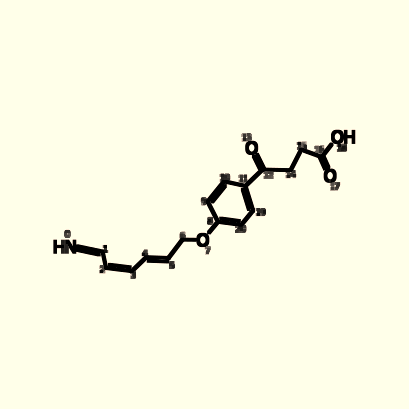 N=C/C=C\C=C\COc1ccc(C(=O)CCC(=O)O)cc1